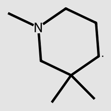 CN1CC[CH]C(C)(C)C1